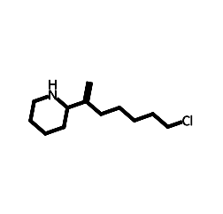 C=C(CCCCCCl)C1CCCCN1